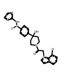 O=C(Cn1ccc2cccc(Cl)c21)N1CCC(O)(c2ccc([S+]([O-])Nc3nccs3)cc2)CC1